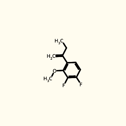 C=C(CC)c1ccc(F)c(F)c1OC